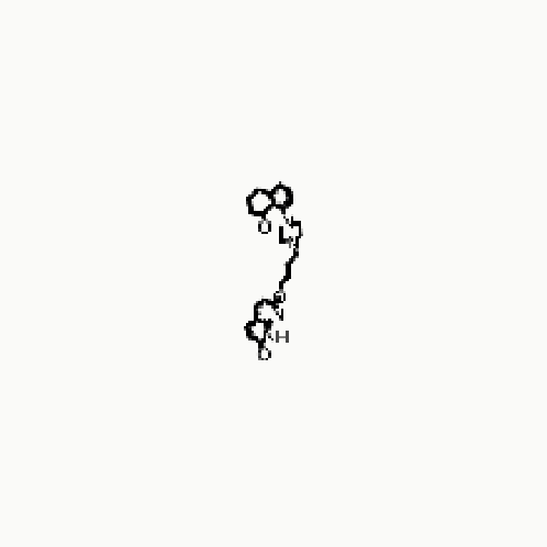 O=C1CCCc2cccc(N3CCN(CCCCOc4ccc5ccc(=O)[nH]c5n4)CC3)c21